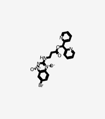 O=C(CCNc1n[n+]([O-])c2cc(Br)ccc2[n+]1[O-])OC(c1ccccn1)c1ccccn1